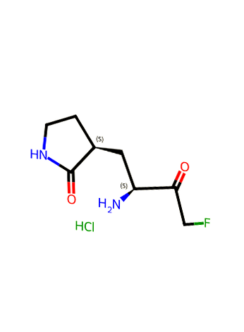 Cl.N[C@@H](C[C@@H]1CCNC1=O)C(=O)CF